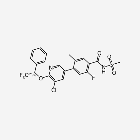 Cc1cc(C(=O)NS(C)(=O)=O)c(F)cc1-c1cnc(O[C@@H](c2ccccc2)C(F)(F)F)c(Cl)c1